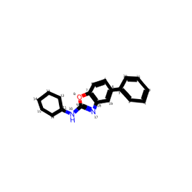 c1ccc(-c2ccc3oc(NC4CCCCC4)nc3c2)cc1